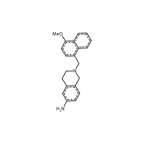 COc1ccc(CN2CCc3cc(N)ccc3C2)c2ccccc12